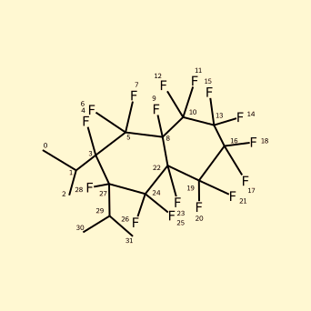 CC(C)C1(F)C(F)(F)C2(F)C(F)(F)C(F)(F)C(F)(F)C(F)(F)C2(F)C(F)(F)C1(F)C(C)C